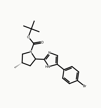 C[C@H]1CC(c2ncc(-c3ccc(Br)cc3)[nH]2)N(C(=O)OC(C)(C)C)C1